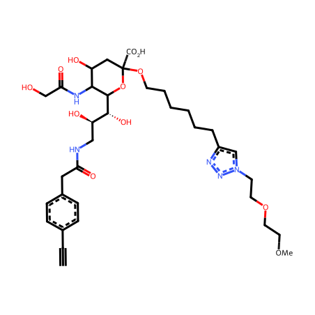 C#Cc1ccc(CC(=O)NC[C@@H](O)[C@@H](O)C2OC(OCCCCCCc3cn(CCOCCOC)nn3)(C(=O)O)CC(O)C2NC(=O)CO)cc1